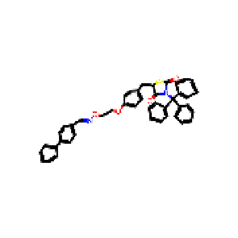 O=C1SC(Cc2ccc(OCCON=Cc3ccc(-c4ccccc4)cc3)cc2)C(=O)N1C(c1ccccc1)(c1ccccc1)c1ccccc1